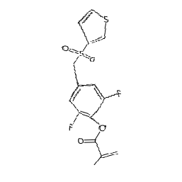 C=C(C)C(=O)Oc1c(F)cc(CS(=O)(=O)c2ccsc2)cc1F